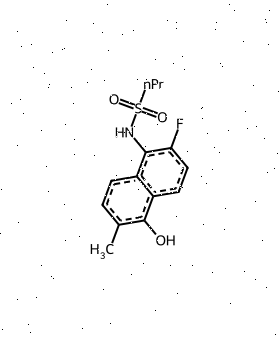 CCCS(=O)(=O)Nc1c(F)ccc2c(O)c(C)ccc12